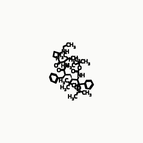 CCNC1CCN1C(=O)[C@@H](NC(=O)[C@H](Cc1ccccc1)C[C@H]([C@@H](NC(=O)OC(C)(C)C)C(O[SiH](C)C)c1ccccc1)C(C)(C)C)C(C)C